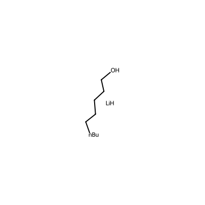 CCCCCCCCCO.[LiH]